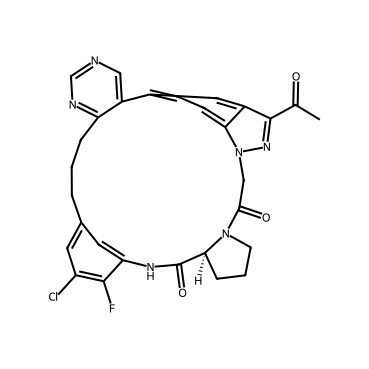 CC(=O)c1nn2c3ccc(cc13)-c1cncnc1CCCc1cc(Cl)c(F)c(c1)NC(=O)[C@@H]1CCCN1C(=O)C2